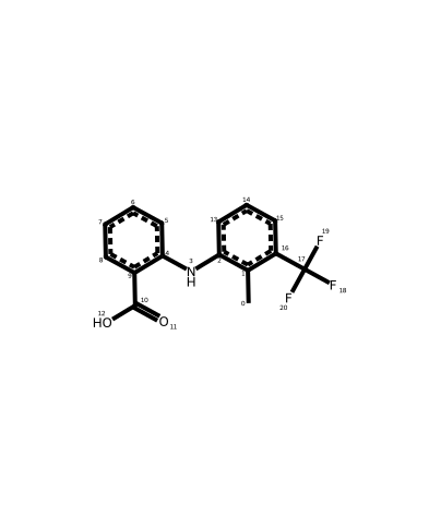 Cc1c(Nc2ccccc2C(=O)O)cccc1C(F)(F)F